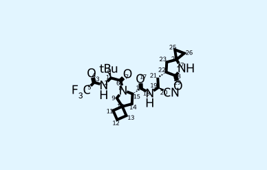 CC(C)(C)[C@H](NC(=O)C(F)(F)F)C(=O)N1CC2(CCC2)C[C@H]1C(=O)N[C@H](C#N)C[C@@H]1CC2(CC2)NC1=O